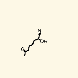 CC(=O)CCCCC(O)C#N